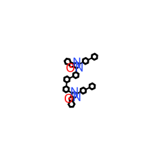 c1ccc(-c2ccc(-c3nc(-c4cccc(-c5cccc(-c6cccc(-c7nc(-c8ccc(-c9ccccc9)cc8)nc8c7oc7ccccc78)c6)c5)c4)c4oc5ccccc5c4n3)cc2)cc1